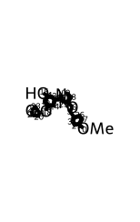 COc1ccc(COc2ccnc(-c3cc(O)cc(OC4CCOC4)c3)n2)cc1